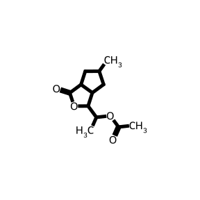 CC(=O)OC(C)C1OC(=O)C2CC(C)CC21